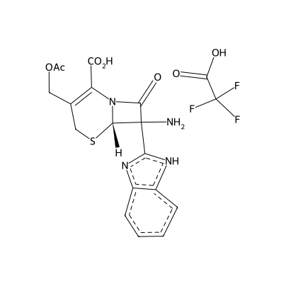 CC(=O)OCC1=C(C(=O)O)N2C(=O)C(N)(c3nc4ccccc4[nH]3)[C@@H]2SC1.O=C(O)C(F)(F)F